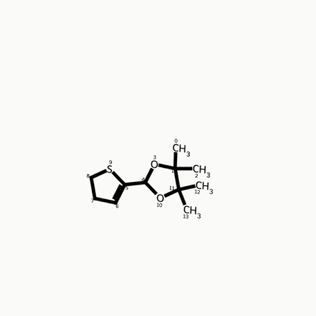 CC1(C)OC(C2=CCCS2)OC1(C)C